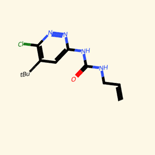 C=CCNC(=O)Nc1cc(C(C)(C)C)c(Cl)nn1